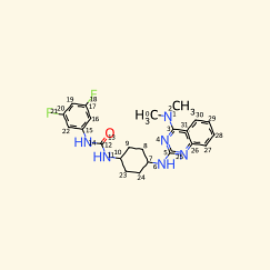 CN(C)c1nc(NC2CCC(NC(=O)Nc3cc(F)cc(F)c3)CC2)nc2ccccc12